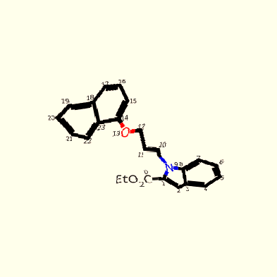 CCOC(=O)c1cc2ccccc2n1CCCOc1cccc2ccccc12